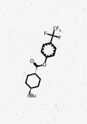 CCCC[C@H]1CC[C@H](C(=O)Oc2ccc(C(F)(F)C(F)(F)F)cc2)CC1